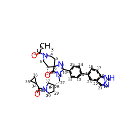 CC(=O)N1CCC2(CC1)N=C(c1ccc(-c3ccc4[nH]ncc4c3)cc1)N(C[C@@H]1CCN(C(=O)C3CC3)C1)C2=O